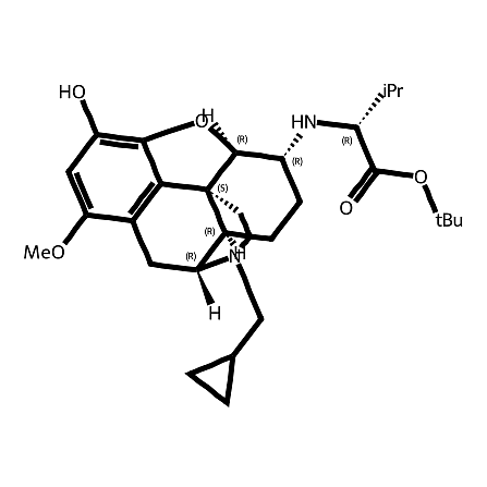 COc1cc(O)c2c3c1C[C@@H]1[C@@H]4CC[C@@H](N[C@@H](C(=O)OC(C)(C)C)C(C)C)[C@H](O2)[C@]34CCN1CC1CC1